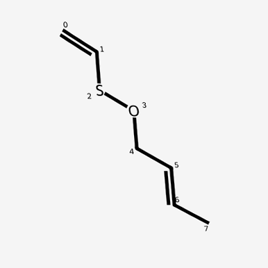 C=CSOCC=CC